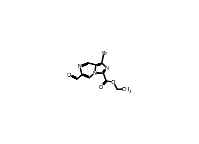 CCOC(=O)c1nc(Br)c2cnc(C=O)cn12